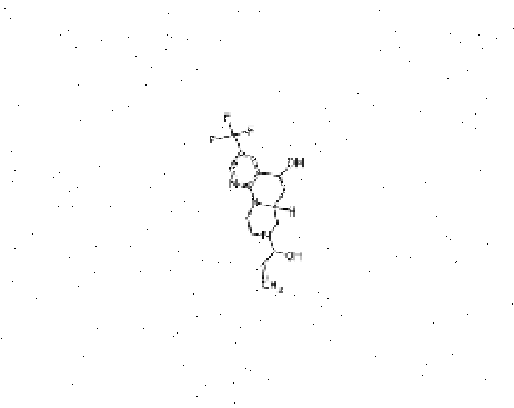 C=CC(O)N1CCN2c3ncc(C(F)(F)F)cc3C(O)C[C@@H]2C1